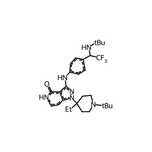 CCC1(n2nc(Nc3ccc(C(NC(C)(C)C)C(F)(F)F)cc3)c3c(=O)[nH]ccc32)CCN(C(C)(C)C)CC1